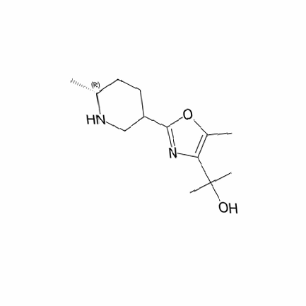 Cc1oc(C2CC[C@@H](C)NC2)nc1C(C)(C)O